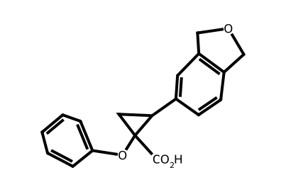 O=C(O)C1(Oc2ccccc2)CC1c1ccc2c(c1)COC2